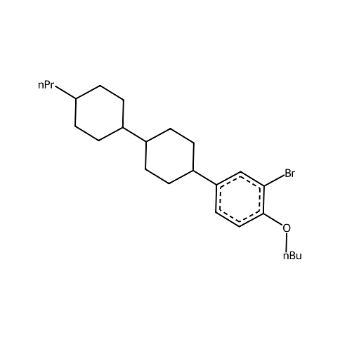 CCCCOc1ccc(C2CCC(C3CCC(CCC)CC3)CC2)cc1Br